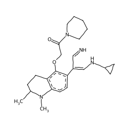 CC1CCc2c(ccc(/C(C=N)=C/NC3CC3)c2OCC(=O)N2CCCCC2)N1C